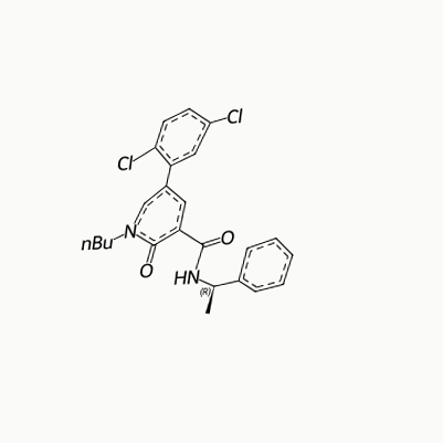 CCCCn1cc(-c2cc(Cl)ccc2Cl)cc(C(=O)N[C@H](C)c2ccccc2)c1=O